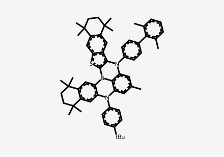 Cc1cc2c3c(c1)N(c1ccc(-c4c(C)cccc4C)cc1)c1c(sc4cc5c(cc14)C(C)(C)CCC5(C)C)B3c1cc3c(cc1N2c1ccc(C(C)(C)C)cc1)C(C)(C)CCC3(C)C